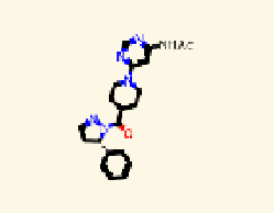 CC(=O)Nc1cc(N2CCC(C(=O)N3N=CC[C@H]3C3C=CC=CC3)CC2)ncn1